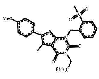 CCOC(=O)Cn1c(=O)c2c(C)c(-c3ccc(OC)cc3)sc2n(Cc2ccccc2S(C)(=O)=O)c1=O